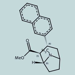 COC(=O)[C@@H]1[C@H]2CCC(C[C@H]1c1ccc3ccccc3c1)N2C